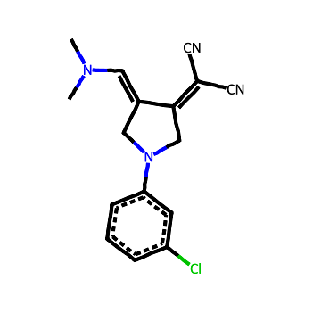 CN(C)C=C1CN(c2cccc(Cl)c2)CC1=C(C#N)C#N